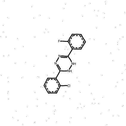 Fc1ccccc1C1=NN=C(c2ccccc2Cl)NN1